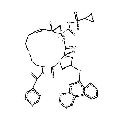 O=C(N[C@H]1CCCCC/C=C\[C@@H]2C[C@@]2(C(=O)NS(=O)(=O)C2CC2)NC(=O)[C@@H]2C[C@@H](Oc3nc4ncncc4c4ccccc34)CN2C1=O)c1ccncn1